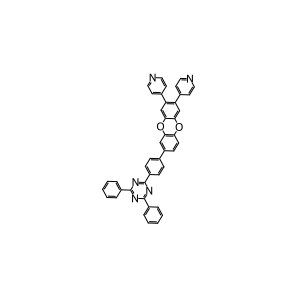 c1ccc(-c2nc(-c3ccccc3)nc(-c3ccc(-c4ccc5c(c4)Oc4cc(-c6ccncc6)c(-c6ccncc6)cc4O5)cc3)n2)cc1